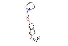 O=C(O)c1cc2ccc(OCCN3C=CC=CC3)cc2s1